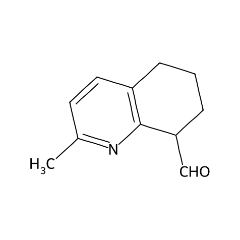 Cc1ccc2c(n1)C(C=O)CCC2